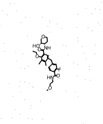 CCOc1c(C(=O)N[C@H]2CCOC[C@@H]2O)cc(Cc2ccc(C(=O)NCCOC)c(F)c2)c(C)c1C